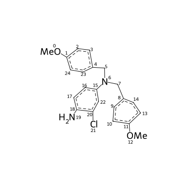 COc1ccc(CN(Cc2ccc(OC)cc2)c2ccc(N)c(Cl)c2)cc1